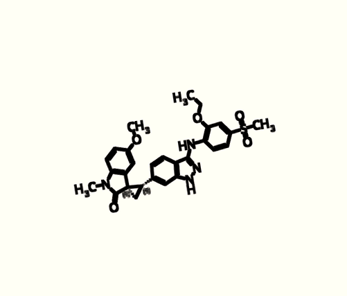 CCOc1cc(S(C)(=O)=O)ccc1Nc1n[nH]c2cc([C@@H]3C[C@@]34C(=O)N(C)c3ccc(OC)cc34)ccc12